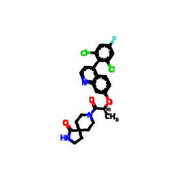 C[C@@H](Oc1ccc2c(-c3c(Cl)cc(F)cc3Cl)ccnc2c1)C(=O)N1CCC2(CCNC2=O)CC1